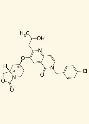 CC(O)Cc1nc2ccn(Cc3ccc(Cl)cc3)c(=O)c2cc1O[C@H]1CCN2C(=O)OC[C@@H]2C1